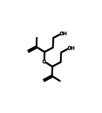 C=C(C)C(CCO)OC(CCO)C(=C)C